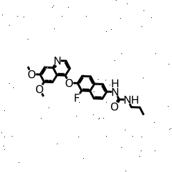 CCCNC(=O)Nc1ccc2c(F)c(Oc3ccnc4cc(OC)c(OC)cc34)ccc2c1